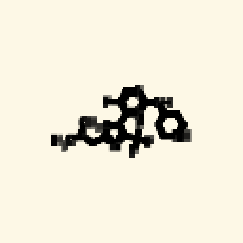 CN(C)Cc1nc(C(F)(F)F)c(-c2nc(NC3CCNCC3)ncc2F)s1